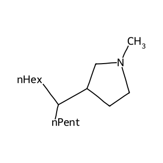 CCCCCCC(CCCCC)C1CCN(C)C1